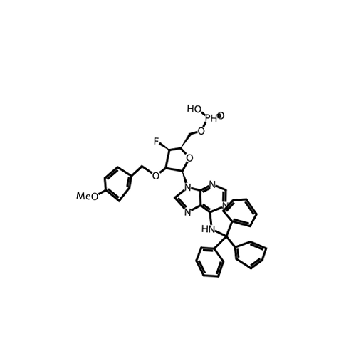 COc1ccc(COC2[C@@H](F)[C@@H](CO[PH](=O)O)O[C@H]2n2cnc3c(NC(c4ccccc4)(c4ccccc4)c4ccccc4)ncnc32)cc1